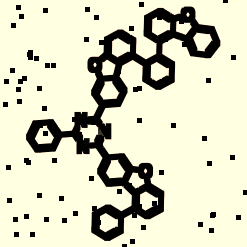 c1ccc(-c2nc(-c3ccc4c(c3)oc3cccc(-c5ccccc5)c34)nc(-c3ccc4c(c3)oc3cccc(-c5ccccc5-c5cccc6oc7ccccc7c56)c34)n2)cc1